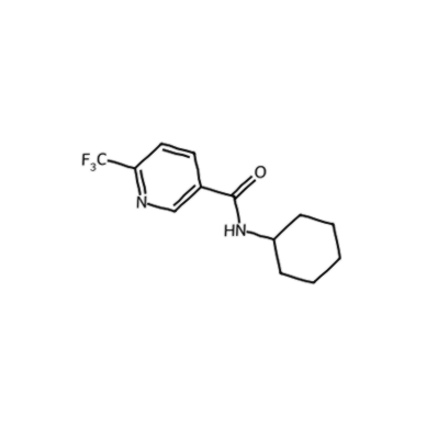 O=C(NC1CCCCC1)c1ccc(C(F)(F)F)nc1